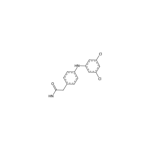 [NH]C(=O)Cc1ccc(Nc2cc(Cl)cc(Cl)c2)cc1